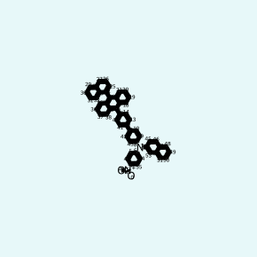 O=[N+]([O-])c1ccc(N(c2ccc(-c3ccc(-c4c5ccccc5c(-c5cccc6ccccc56)c5ccccc45)cc3)cc2)c2ccc3ccccc3c2)cc1